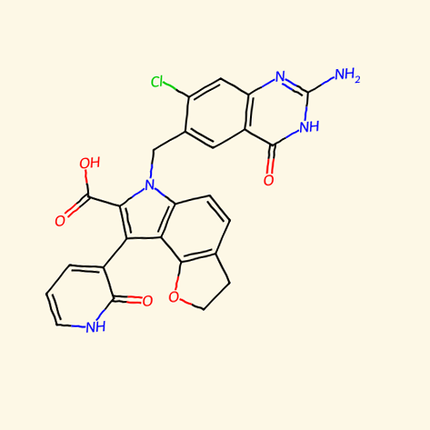 Nc1nc2cc(Cl)c(Cn3c(C(=O)O)c(-c4ccc[nH]c4=O)c4c5c(ccc43)CCO5)cc2c(=O)[nH]1